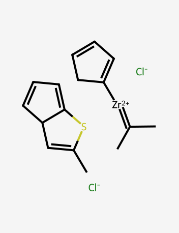 CC1=CC2C=CC=C2S1.C[C](C)=[Zr+2][C]1=CC=CC1.[Cl-].[Cl-]